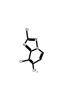 CCc1nc2c(Cl)c(C(F)(F)F)ccn2n1